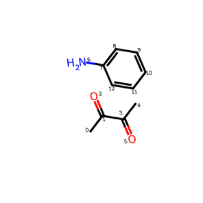 CC(=O)C(C)=O.Nc1ccccc1